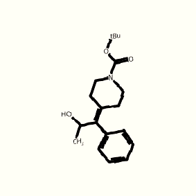 CC(O)C(=C1CCN(C(=O)OC(C)(C)C)CC1)c1ccccc1